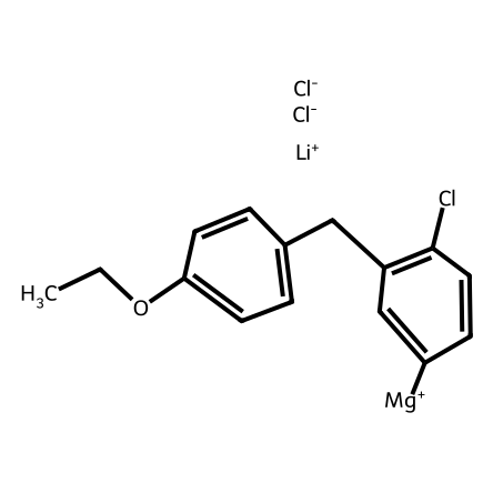 CCOc1ccc(Cc2c[c]([Mg+])ccc2Cl)cc1.[Cl-].[Cl-].[Li+]